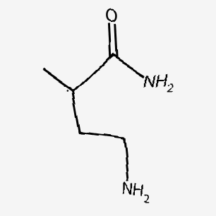 C[C](CCN)C(N)=O